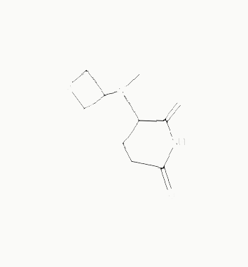 C=C1NC(=O)CCC1N(C)C1COC1